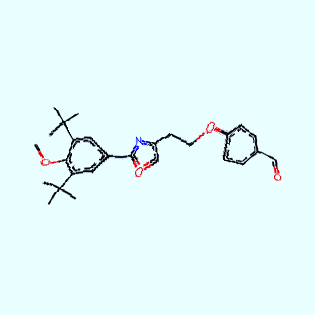 COc1c(C(C)(C)C)cc(-c2nc(CCOc3ccc(C=O)cc3)co2)cc1C(C)(C)C